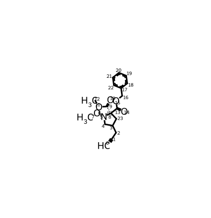 C#CCC1CN(OC)[C@@](C(=O)OC)(C(=O)OCc2ccccc2)C1